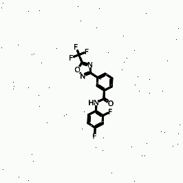 O=C(Nc1ccc(F)cc1F)c1cccc(-c2noc(C(F)(F)F)n2)c1